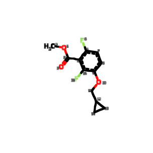 COC(=O)c1c(F)ccc(OCC2CC2)c1F